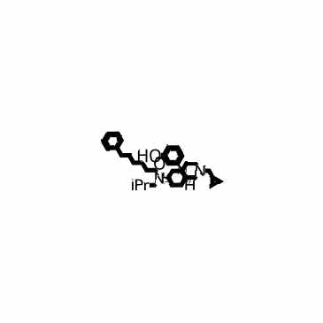 CC(C)CN(C(=O)CCCCCc1ccccc1)[C@H]1CC[C@@H]2CN(CC3CC3)CC[C@@]2(c2cccc(O)c2)C1